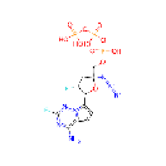 [N-]=[N+]=NC1(COP(=O)(O)OP(=O)(O)OP(=O)(O)O)C[C@@H](F)[C@H](c2ccc3c(N)nc(F)nn23)O1